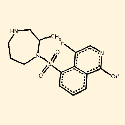 CC1CNCCCN1S(=O)(=O)c1cccc2c(O)ncc(F)c12